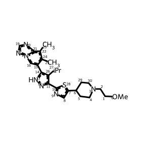 COCCN1CCC(c2cnc(-c3n[nH]c(-c4cn5ncnc5c(C)c4C)c3C(C)C)s2)CC1